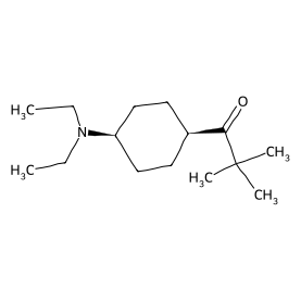 CCN(CC)[C@H]1CC[C@@H](C(=O)C(C)(C)C)CC1